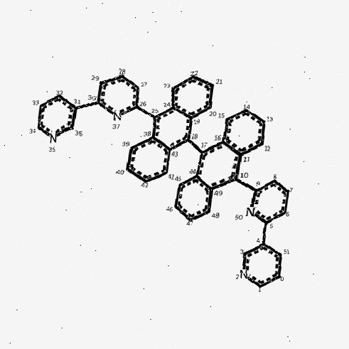 c1cncc(-c2cccc(-c3c4ccccc4c(-c4c5ccccc5c(-c5cccc(-c6cccnc6)n5)c5ccccc45)c4ccccc34)n2)c1